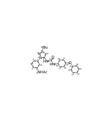 CC(=O)Nc1cccc(-n2nc(C(C)(C)C)cc2NC(=O)Nc2ccc(Oc3ccccc3)cc2)c1